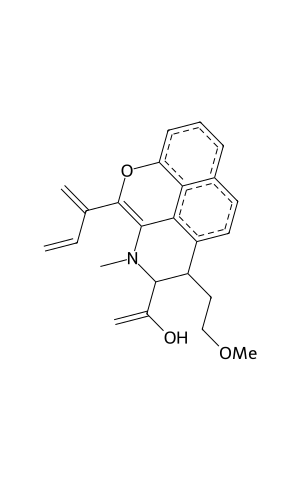 C=CC(=C)C1=C2c3c(ccc4cccc(c34)O1)C(CCOC)C(C(=C)O)N2C